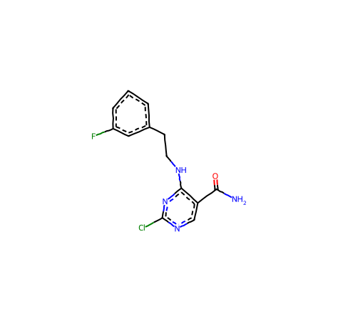 NC(=O)c1cnc(Cl)nc1NCCc1cccc(F)c1